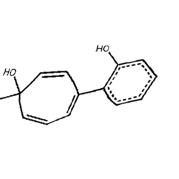 CC1(O)C=CC=C(c2ccccc2O)C=C1